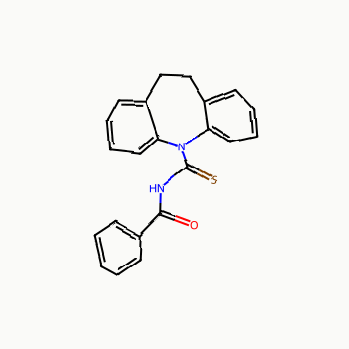 O=C(NC(=S)N1c2ccccc2CCc2ccccc21)c1ccccc1